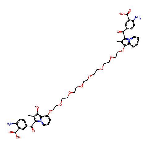 COc1c(C)c(C(=O)c2ccc(N)c(C(=O)O)c2)n2cccc(OCCOCCOCCOCCOCCOCCOCCOc3c(C)c(C(=O)c4ccc(N)c(C(=O)O)c4)n4ccccc34)c12